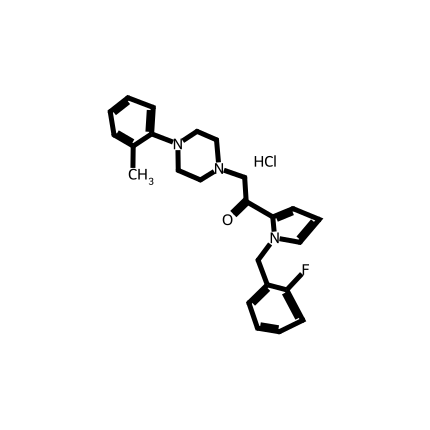 Cc1ccccc1N1CCN(CC(=O)c2cccn2Cc2ccccc2F)CC1.Cl